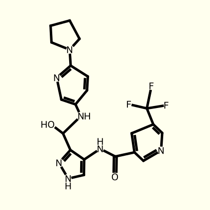 O=C(Nc1c[nH]nc1C(O)Nc1ccc(N2CCCC2)nc1)c1cncc(C(F)(F)F)c1